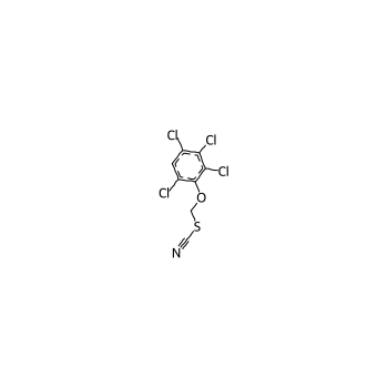 N#CSCOc1c(Cl)cc(Cl)c(Cl)c1Cl